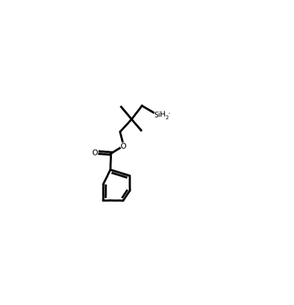 CC(C)(C[SiH2])COC(=O)c1ccccc1